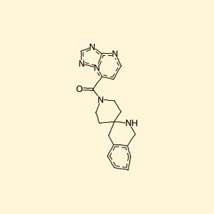 O=C(c1ccnc2ncnn12)N1CCC2(CC1)Cc1ccccc1CN2